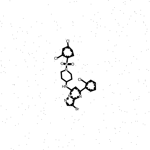 O=S(=O)(c1ccc(Cl)cc1Cl)N1CCC(Nc2cc(-c3ccccc3Cl)nc3c(Br)cnn23)CC1